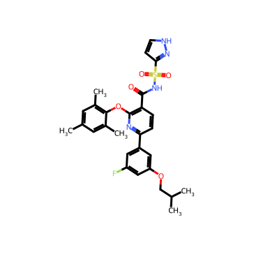 Cc1cc(C)c(Oc2nc(-c3cc(F)cc(OCC(C)C)c3)ccc2C(=O)NS(=O)(=O)c2cc[nH]n2)c(C)c1